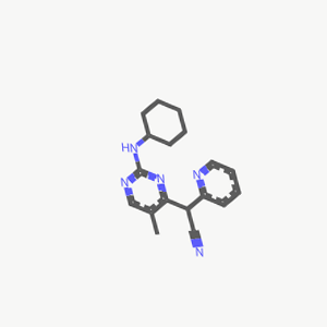 Cc1cnc(NC2CCCCC2)nc1C(C#N)c1ccccn1